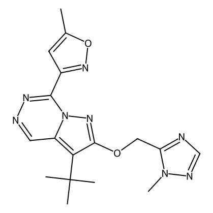 Cc1cc(-c2nncc3c(C(C)(C)C)c(OCc4ncnn4C)nn23)no1